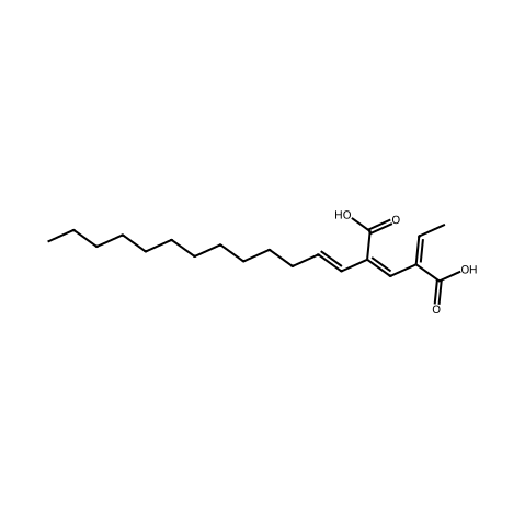 CC=C(C=C(C=CCCCCCCCCCCC)C(=O)O)C(=O)O